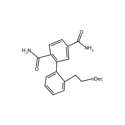 CCCCCCCCCCCCc1ccccc1-c1cc(C(N)=O)ccc1C(N)=O